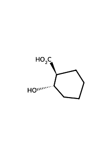 O=C(O)[C@H]1CCCC[C@@H]1O